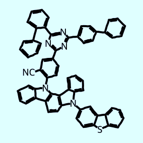 N#Cc1cc(-c2nc(-c3ccc(-c4ccccc4)cc3)nc(-c3ccccc3-c3ccccc3)n2)ccc1-n1c2ccccc2c2ccc3c(c4ccccc4n3-c3ccc4sc5ccccc5c4c3)c21